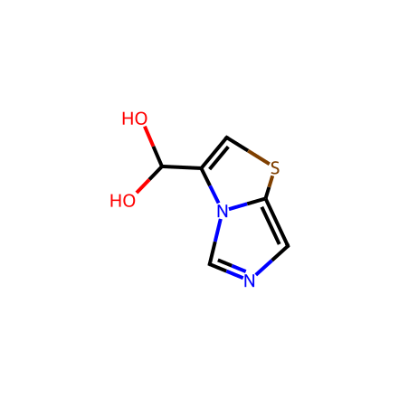 OC(O)c1csc2cncn12